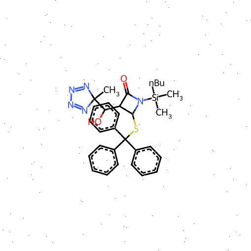 CCCC[Si](C)(C)N1C(=O)C(C(O)C2(C)N=NN=N2)C1SC(c1ccccc1)(c1ccccc1)c1ccccc1